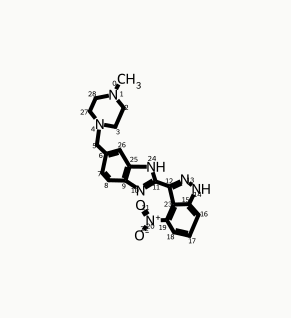 CN1CCN(Cc2ccc3nc(-c4n[nH]c5cccc([N+](=O)[O-])c45)[nH]c3c2)CC1